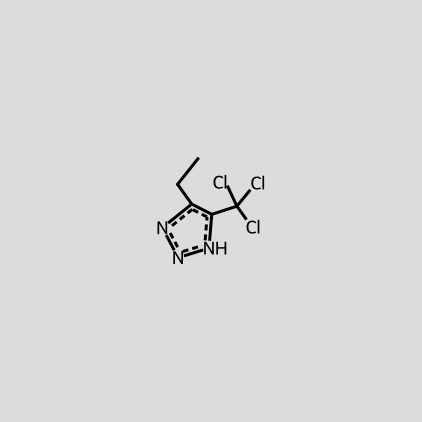 CCc1nn[nH]c1C(Cl)(Cl)Cl